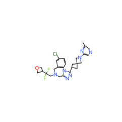 Cc1cncc(N2CC3(CC(c4nnc5n4-c4ccc(Cl)cc4CN(CC(F)(F)C4COC4)C5)C3)C2)n1